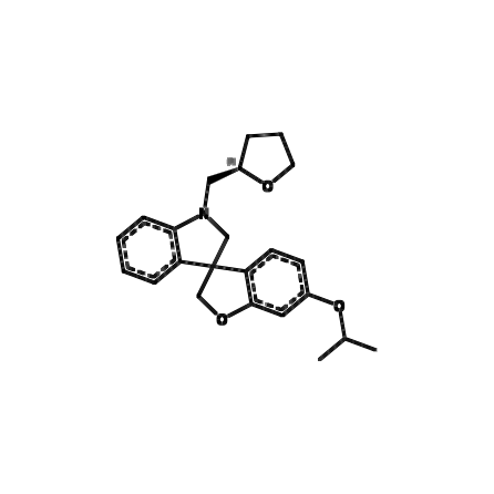 CC(C)Oc1ccc2c(c1)OCC21CN(C[C@H]2CCCO2)c2ccccc21